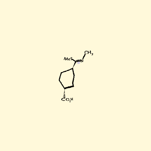 C/N=C(\SC)[C@H]1CC[C@H](C(=O)O)CC1